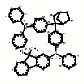 CCC1(C)c2ccccc2-c2ccc(N(c3ccccc3)c3ccc(C4(c5ccc(N(c6ccccc6)c6ccccc6)cc5)CC5CCC4C5)cc3)cc21